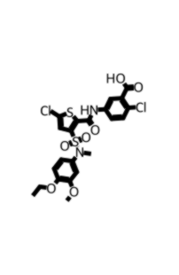 CCOc1ccc(N(C)S(=O)(=O)c2cc(Cl)sc2C(=O)Nc2ccc(Cl)c(C(=O)O)c2)cc1OC